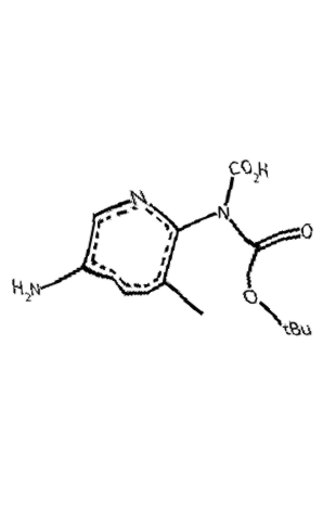 Cc1cc(N)cnc1N(C(=O)O)C(=O)OC(C)(C)C